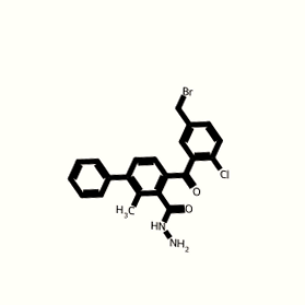 Cc1c(-c2ccccc2)ccc(C(=O)c2cc(CBr)ccc2Cl)c1C(=O)NN